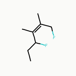 CCC(F)/C(C)=C(/C)CF